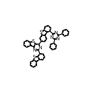 c1ccc(-c2nc(-c3ccccc3)nc(-c3cccc4sc5cc(-c6nc(-c7cccc8c7sc7ccccc78)nc7c6sc6ccccc67)ccc5c34)n2)cc1